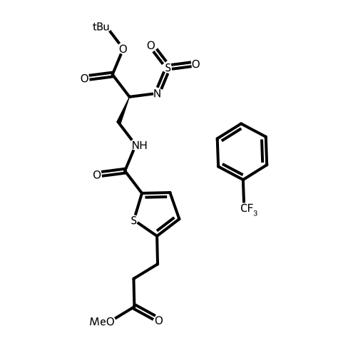 COC(=O)CCc1ccc(C(=O)NC[C@H](N=S(=O)=O)C(=O)OC(C)(C)C)s1.FC(F)(F)c1ccccc1